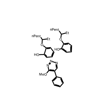 CCCCCC(CC)Oc1ccccc1O.CCCCCC(CC)Oc1ccccc1O.COc1nnncc1-c1ccccc1